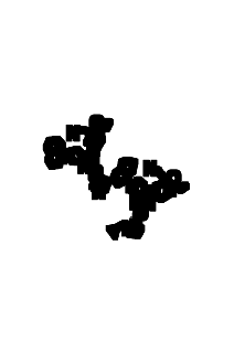 C=CC(=O)N1CCN(c2nc(OC[C@@H]3CCCN3CC3CC3)nc3c2CCN(c2cc(C4CN(C)[C@](C)(COc5nc6c(c(N7CCN(C(=O)C=C)C(CC#N)C7)n5)CCN(c5cccc7ccccc57)C6)C4)cc4ccccc24)C3)CC1CC#N